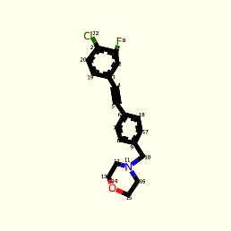 Fc1cc(C#Cc2ccc(CN3CCOCC3)cc2)ccc1Cl